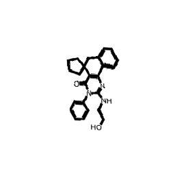 O=c1c2c(nc(NCCO)n1-c1ccccc1)-c1ccccc1CC21CCCC1